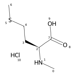 CN[C@@H](CCSC)C(=O)O.Cl